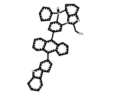 CCc1nc2cccc3c2n1-c1cc(-c2c4ccccc4c(-c4ccc5c(c4)oc4ccccc45)c4ccccc24)ccc1P3(=O)c1ccccc1